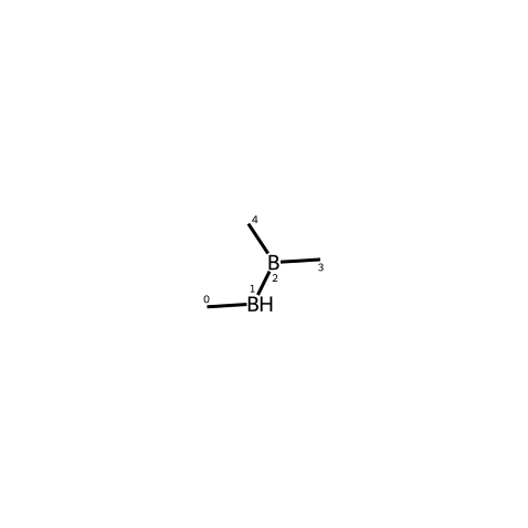 CBB(C)C